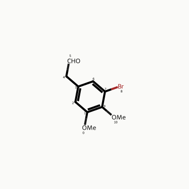 COc1cc(CC=O)cc(Br)c1OC